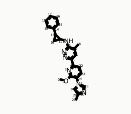 COc1nc(-c2cc(C)c(NC3CC3c3ccccc3)nn2)ccc1-n1cnc(C)c1